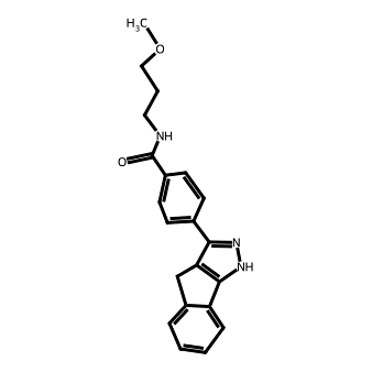 COCCCNC(=O)c1ccc(-c2n[nH]c3c2Cc2ccccc2-3)cc1